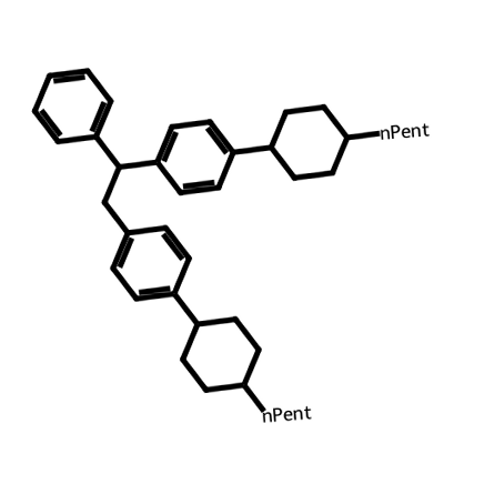 CCCCCC1CCC(c2ccc(CC(c3ccccc3)c3ccc(C4CCC(CCCCC)CC4)cc3)cc2)CC1